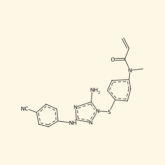 C=CC(=O)N(C)c1ccc(Sn2nc(Nc3ccc(C#N)cc3)nc2N)cc1